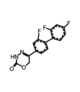 O=C1NN=C(c2ccc(-c3ccc(F)cc3F)c(F)c2)CO1